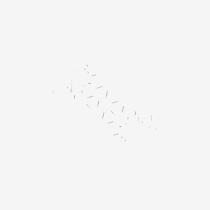 CCCCCN(C=O)C(=O)C(=O)c1ccc2c3ccc(C(=O)C(=O)NC=O)c4c(C(=O)C(=O)NC=O)ccc(c5ccc(C(=O)C(=O)N(C=O)CCCCC)c1c25)c43